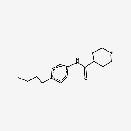 CCCCc1ccc(NC(=O)C2CC[N]CC2)cc1